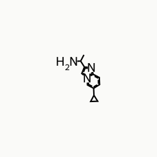 CC(N)c1cn2cc(C3CC3)ccc2n1